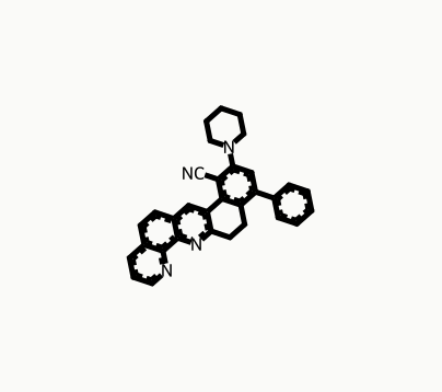 N#Cc1c(N2CCCCC2)cc(-c2ccccc2)c2c1-c1cc3ccc4cccnc4c3nc1CC2